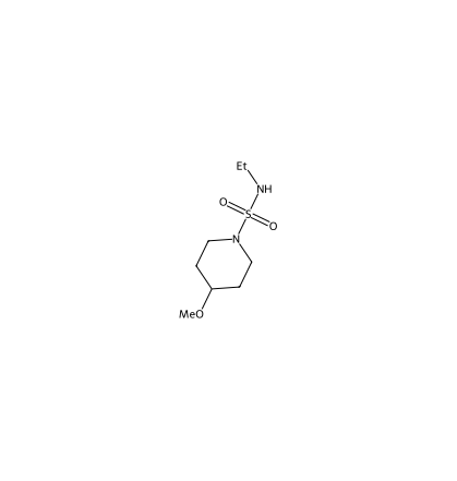 CCNS(=O)(=O)N1CCC(OC)CC1